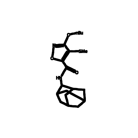 CCCCOc1noc(C(=O)NC2C3CC4CC(C3)CC2C4)c1SC